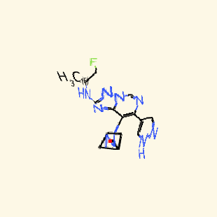 C[C@H](CF)Nc1nc2c(N3CC4CC3C4)c(-c3cn[nH]c3)ncn2n1